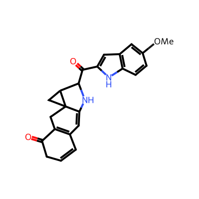 COc1ccc2[nH]c(C(=O)C3NC4=CC5=C(CC46CC36)C(=O)CC=C5)cc2c1